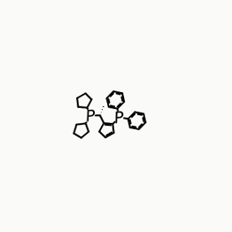 C[C@H](C1=C(P(c2ccccc2)c2ccccc2)C=CC1)P(C1CCCC1)C1CCCC1